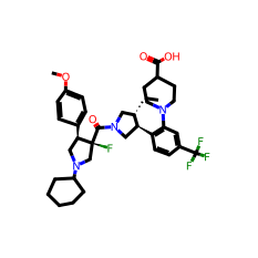 CC[C@H]1CN(C(=O)[C@]2(F)CN(C3CCCCC3)C[C@H]2c2ccc(OC)cc2)C[C@@H]1c1ccc(C(F)(F)F)cc1N1CCC(C(=O)O)CC1